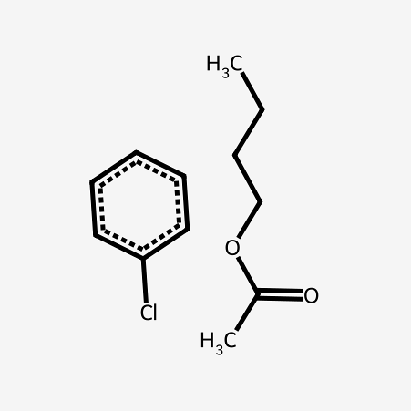 CCCCOC(C)=O.Clc1ccccc1